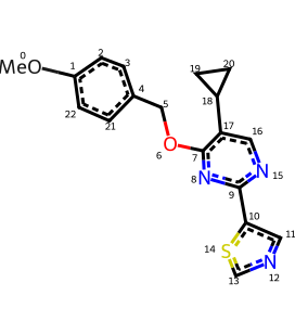 COc1ccc(COc2nc(-c3cncs3)ncc2C2CC2)cc1